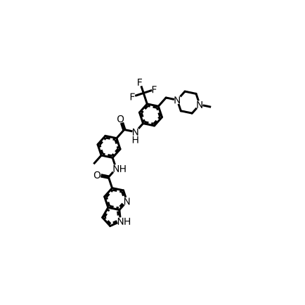 Cc1ccc(C(=O)Nc2ccc(CN3CCN(C)CC3)c(C(F)(F)F)c2)cc1NC(=O)c1cnc2[nH]ccc2c1